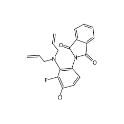 C=CCN(CC=C)c1c(N2C(=O)c3ccccc3C2=O)ccc(Cl)c1F